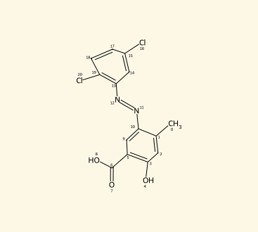 Cc1cc(O)c(C(=O)O)cc1N=Nc1cc(Cl)ccc1Cl